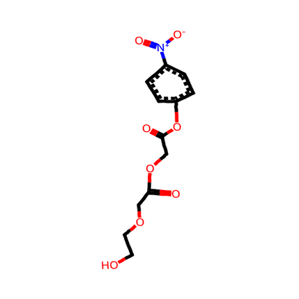 O=C(COCCO)OCC(=O)Oc1ccc([N+](=O)[O-])cc1